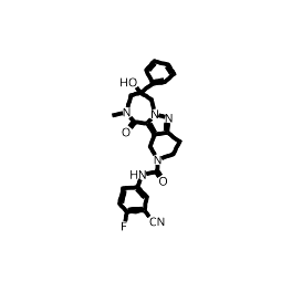 CN1CC(O)(c2ccccc2)Cn2nc3c(c2C1=O)CN(C(=O)Nc1ccc(F)c(C#N)c1)CC3